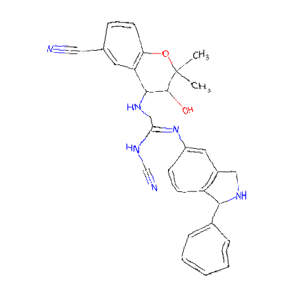 CC1(C)Oc2ccc(C#N)cc2C(NC(=Nc2ccc3c(c2)CNC3c2ccccc2)NC#N)C1O